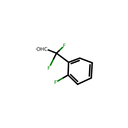 O=[C]C(F)(F)c1ccccc1F